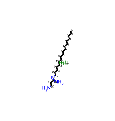 CCCCCCCCCCCCCCCCCCN=C(N)CCN.Cl.Cl